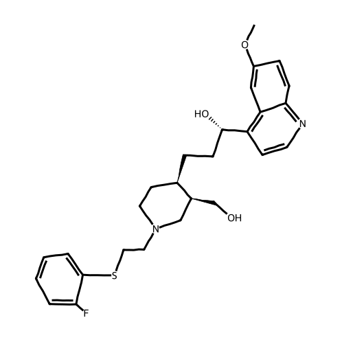 COc1ccc2nccc([C@@H](O)CC[C@@H]3CCN(CCSc4ccccc4F)C[C@@H]3CO)c2c1